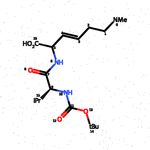 CNCC/C=C/C(NC(=O)[C@@H](NC(=O)OC(C)(C)C)C(C)C)C(=O)O